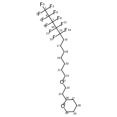 FC(F)(F)C(F)(F)C(F)(F)C(F)(F)C(F)(F)CCCCCCCOCCC1CCCCO1